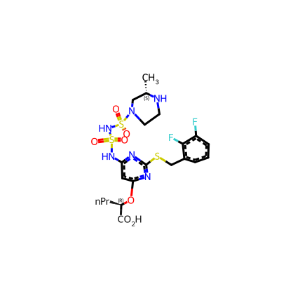 CCC[C@@H](Oc1cc(NS(=O)(=O)NS(=O)(=O)N2CCN[C@@H](C)C2)nc(SCc2cccc(F)c2F)n1)C(=O)O